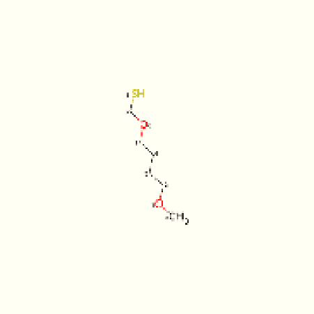 COCCCCOCS